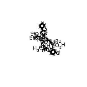 CCOC(OCC)[C@H](C)N(Cc1csc2ccccc12)C(=O)[C@H](CCCCN(C(=O)O)C(C)(C)C)NC(=O)CN(C)NC(=O)NCc1ccc(Cl)cc1